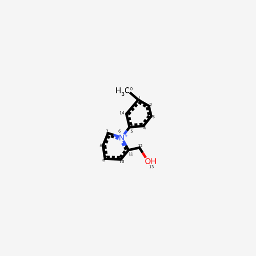 Cc1cccc(-[n+]2ccccc2CO)c1